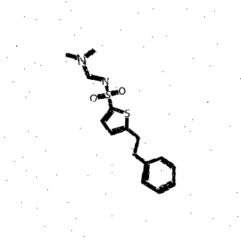 CN(C)C=NS(=O)(=O)c1ccc(CCc2ccccc2)s1